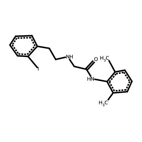 Cc1cccc(C)c1NC(=O)CNCCc1ccccc1I